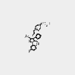 CC(=O)C1=NN2c3cc(F)ccc3OCC2[C@]1(CCCN1CCN(C(=O)O)CC1)c1ccccc1